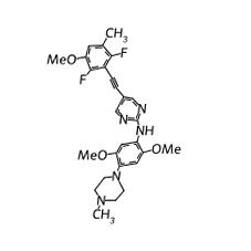 COc1cc(N2CCN(C)CC2)c(OC)cc1Nc1ncc(C#Cc2c(F)c(C)cc(OC)c2F)cn1